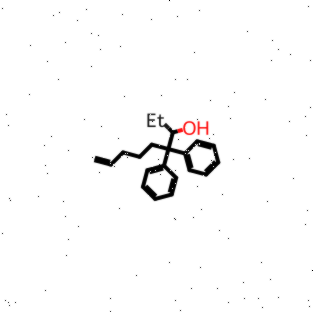 C=CCCCC(c1ccccc1)(c1ccccc1)C(O)CC